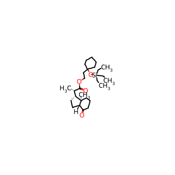 CC[Si](CC)(CC)OC1(CCOC(=O)[C@@H](C)[C@H]2CC[C@H]3C(=O)CCC[C@]23C)CCCCC1